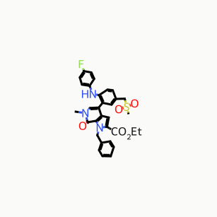 CCOC(=O)c1cc2c(-c3cc(CS(C)(=O)=O)ccc3Nc3ccc(F)cc3)cn(C)c(=O)c2n1Cc1ccccc1